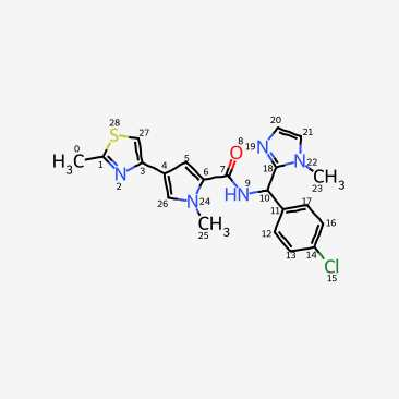 Cc1nc(-c2cc(C(=O)NC(c3ccc(Cl)cc3)c3nccn3C)n(C)c2)cs1